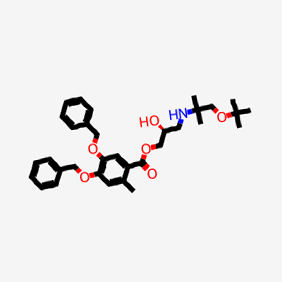 Cc1cc(OCc2ccccc2)c(OCc2ccccc2)cc1C(=O)OC[C@@H](O)CNC(C)(C)COC(C)(C)C